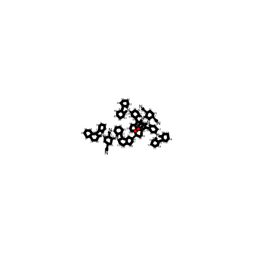 N#Cc1cc(-n2c3ccccc3c3c4ccccc4ccc32)c(C#N)c(-n2c3ccccc3c3c4cc(-c5ccc6c(ccc7c6c6cc(-n8c9ccccc9c9ccccc98)ccc6n7-c6c(C#N)ccc(C#N)c6-n6c7ccc(-n8c9ccccc9c9ccccc98)cc7c7c8ccccc8ccc76)c5)ccc4ccc32)c1